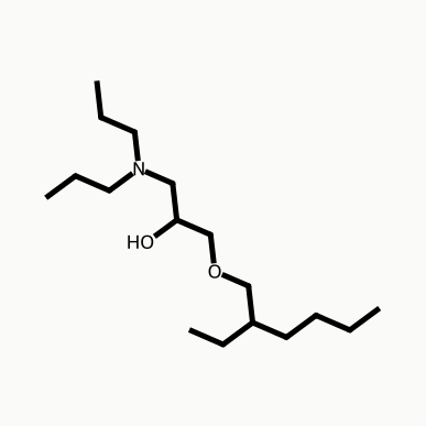 CCCCC(CC)COCC(O)CN(CCC)CCC